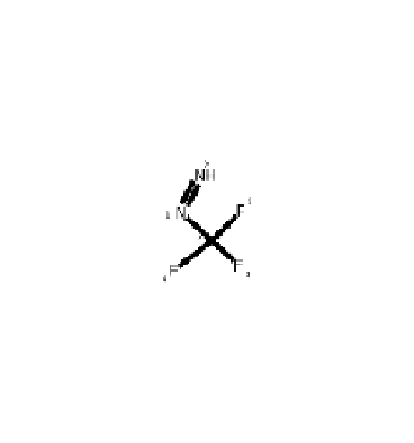 N=NC(F)(F)F